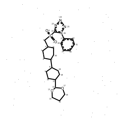 O=S(=O)(CC1CCC(C2CCC(C3OCCCO3)CC2)CC1)c1nnnn1-c1ccccc1